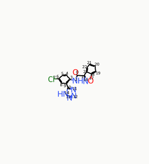 O=C(Nc1ccc(Cl)cc1-c1nnn[nH]1)c1noc2ccccc12